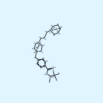 C[C@@H](OC(=O)c1ccc(C[N+]23CC[N+](CCC[N+]45CCC(CC4)CC5)(CC2)CC3)cc1)C(C)(C)C